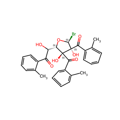 Cc1ccccc1C(=O)C(O)[C@@H]1O[C@@H](Br)[C@@](O)(C(=O)c2ccccc2C)[C@]1(O)C(=O)c1ccccc1C